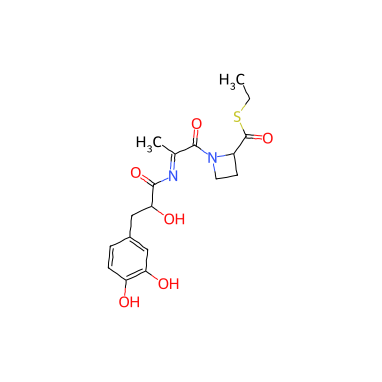 CCSC(=O)C1CCN1C(=O)/C(C)=N/C(=O)C(O)Cc1ccc(O)c(O)c1